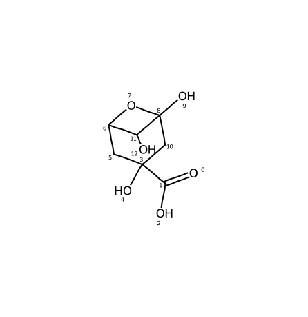 O=C(O)C1(O)CC2OC(O)(C1)C2O